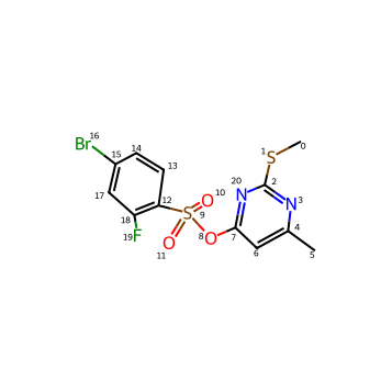 CSc1nc(C)cc(OS(=O)(=O)c2ccc(Br)cc2F)n1